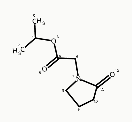 CC(C)OC(=O)CN1CCCC1=O